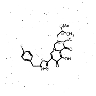 CCN1C(=O)c2c(O)c(=O)c(-c3nnc(Cc4ccc(F)cc4)s3)cn2C[C@@H]1C[C@H](C)OC